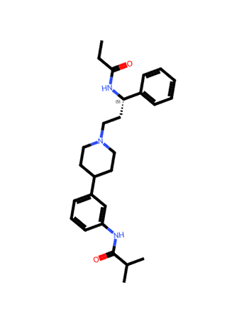 CCC(=O)N[C@@H](CCN1CCC(c2cccc(NC(=O)C(C)C)c2)CC1)c1ccccc1